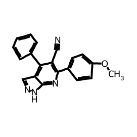 COc1ccc(-c2nc3[nH]ncc3c(-c3ccccc3)c2C#N)cc1